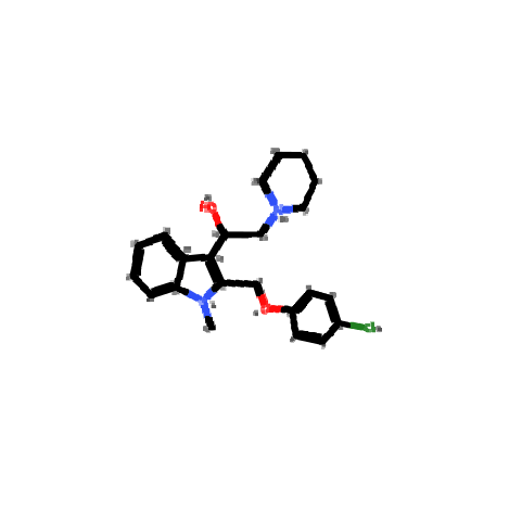 Cn1c(COc2ccc(Cl)cc2)c(C(O)CN2CCCCC2)c2ccccc21